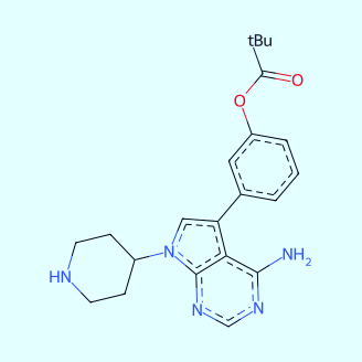 CC(C)(C)C(=O)Oc1cccc(-c2cn(C3CCNCC3)c3ncnc(N)c23)c1